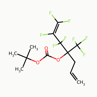 C=CCC(OC(=O)OC(C)(C)C)(C(F)(F)F)C(F)(F)C(F)=C(F)F